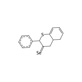 [Se]=C1CC2CC=CC=C2SC1c1ccccc1